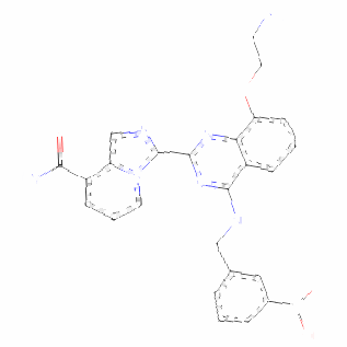 NCCOc1cccc2c(NCc3cccc(B(O)O)c3)nc(-c3ncc4c(C(N)=O)cccn34)nc12